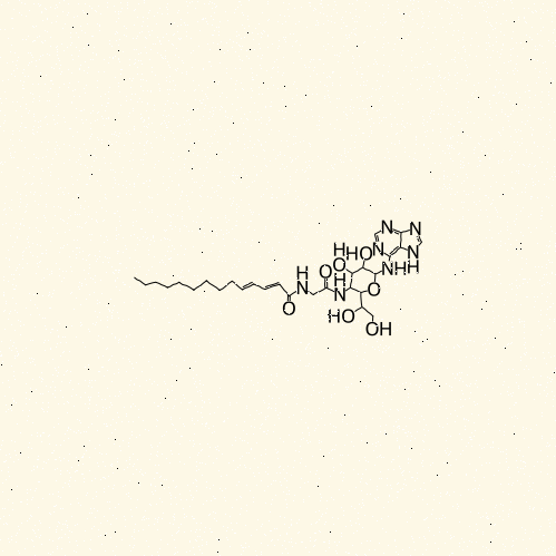 CCCCCCCCC/C=C/C=C/C(=O)NCC(=O)NC1C(O)C(O)C(Nc2ncnc3nc[nH]c23)OC1C(O)CO